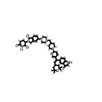 CC1(C)CC(C=C(c2ccc(N3CCC(CN4CCN(c5ccc6c(c5)CN(C5CCC(=O)NC5=O)C6=O)CC4)CC3)nc2)c2ccc3[nH]cc(F)c3c2)CC(C)(C)O1